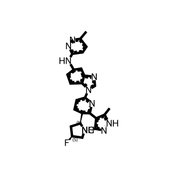 Cc1ccc(Nc2ccc3c(c2)ncn3-c2ccc([C@@H]3C[C@H](F)CN3)c(-c3c(C#N)n[nH]c3C)n2)nn1